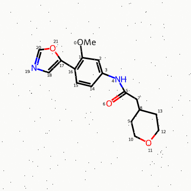 COc1cc(NC(=O)CC2CCOCC2)ccc1-c1cnco1